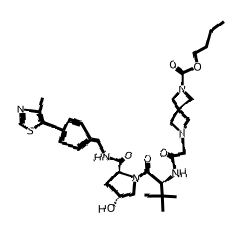 CCCCOC(=O)N1CC2(CN(CC(=O)N[C@H](C(=O)N3C[C@H](O)C[C@H]3C(=O)NCc3ccc(-c4scnc4C)cc3)C(C)(C)C)C2)C1